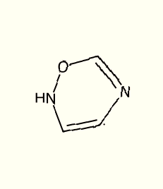 [C]1=CNOC=N1